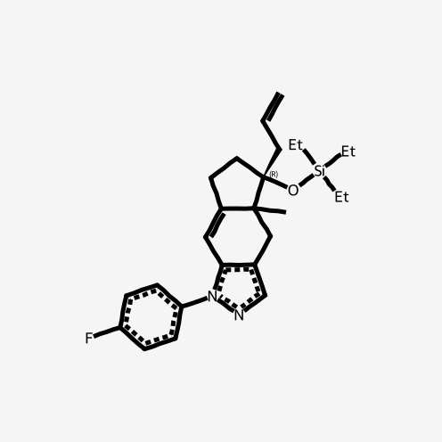 C=CC[C@]1(O[Si](CC)(CC)CC)CCC2=Cc3c(cnn3-c3ccc(F)cc3)CC21C